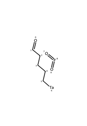 O=CCCC[CH2][Ta].[O]=[Ir]=[O]